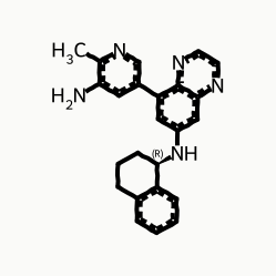 Cc1ncc(-c2cc(N[C@@H]3CCCc4ccccc43)cc3nccnc23)cc1N